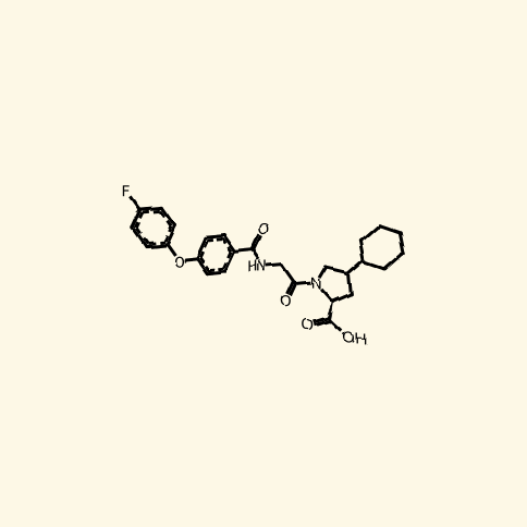 O=C(NCC(=O)N1CC(C2CCCCC2)C[C@H]1C(=O)O)c1ccc(Oc2ccc(F)cc2)cc1